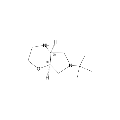 CC(C)(C)N1C[C@@H]2NCCO[C@@H]2C1